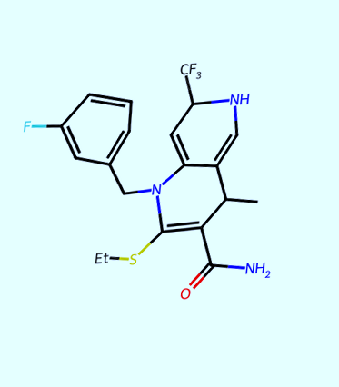 CCSC1=C(C(N)=O)C(C)C2=CNC(C(F)(F)F)C=C2N1Cc1cccc(F)c1